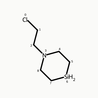 ClCCN1CC[SiH2]CC1